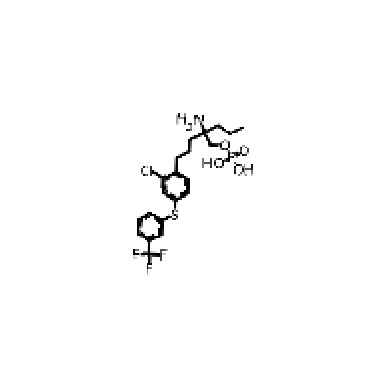 CCCC(N)(CCCc1ccc(Sc2cccc(C(F)(F)F)c2)cc1Cl)COP(=O)(O)O